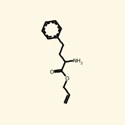 C=CCOC(=O)C(N)CCc1ccccc1